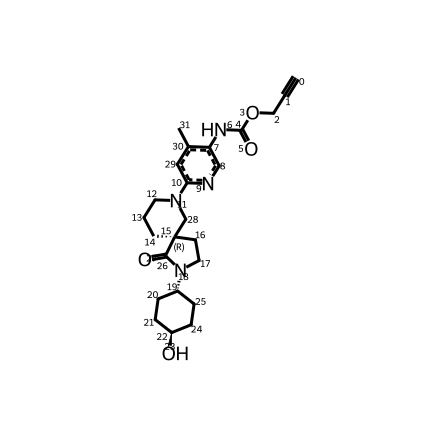 C#CCOC(=O)Nc1cnc(N2CCC[C@@]3(CCN([C@H]4CC[C@H](O)CC4)C3=O)C2)cc1C